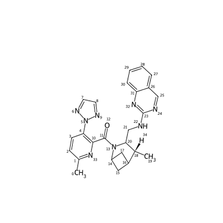 Cc1ccc(-n2nccn2)c(C(=O)N2C3CC(C3)[C@@H](C)C2CNc2ncc3ccccc3n2)n1